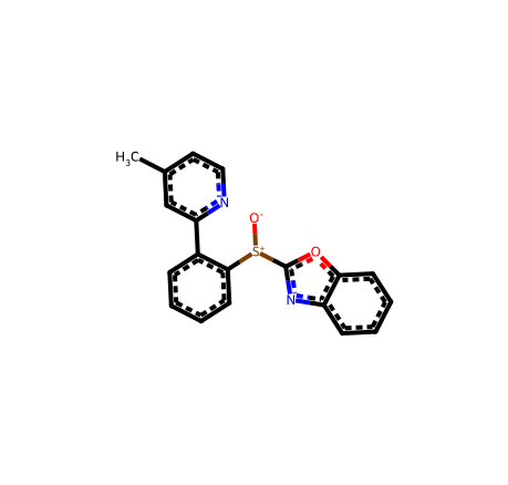 Cc1ccnc(-c2ccccc2[S+]([O-])c2nc3ccccc3o2)c1